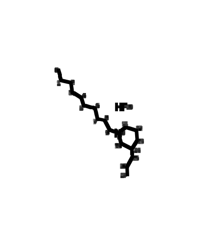 CCCCCCCCCCN1CCCC(CCC)C1.F